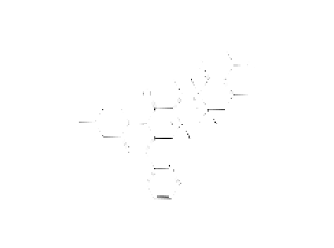 CC(=O)C1=C(C)C[C@]2(C)C[C@]3(C)Cc4c(-c5ccccn5)cc(CC(C)C)c(C)c4C(=O)C3=C(C)[C@]2(C)C1=O